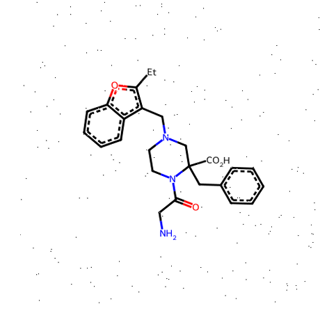 CCc1oc2ccccc2c1CN1CCN(C(=O)CN)C(Cc2ccccc2)(C(=O)O)C1